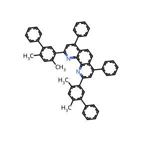 Cc1cc(C)c(-c2cc(-c3ccccc3)c3ccc4c(-c5ccccc5)cc(-c5cc(-c6ccccc6)c(C)cc5C)nc4c3n2)cc1-c1ccccc1